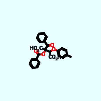 Cc1ccc(OC(C(=O)O)C(OC(=O)c2ccccc2)(C(=O)O)C(=O)c2ccccc2)cc1